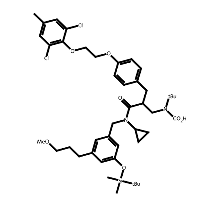 COCCCc1cc(CN(C(=O)C(Cc2ccc(OCCOc3c(Cl)cc(C)cc3Cl)cc2)CN(C(=O)O)C(C)(C)C)C2CC2)cc(O[Si](C)(C)C(C)(C)C)c1